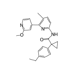 CCc1ccc(C2(C(=O)Nc3ccc(C)c(-c4ccnc(OC)c4)n3)CC2)cc1